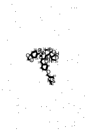 Cc1nc(COc2ccc(C[CH][C@@H](O)[C@@H](C3CO[C@H]4OCC[C@@H]34)N(CC(C)C)S(=O)(=O)c3ccc4c(c3)OCO4)cc2)cs1